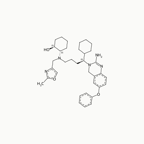 Cc1nc(CN(CCC[C@@H](C2CCCCC2)N2Cc3cc(Oc4ccccc4)ccc3N=C2N)[C@H]2CCCC[C@@H]2O)co1